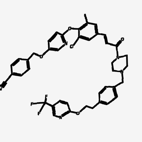 Cc1cc(/C=C/C(=O)N2CCN(Cc3ccc(CCOc4ccc(C(F)(F)F)cn4)cc3)CC2)cc(Cl)c1Oc1ccc(OCc2ccc(C#N)cc2)cn1